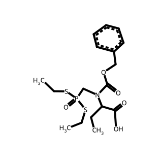 CCSP(=O)(CN(C(=O)OCc1ccccc1)C(CC)C(=O)O)SCC